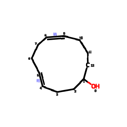 OC1CC/C=C/CC/C=C\CCC1